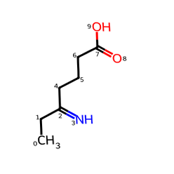 CCC(=N)CCCC(=O)O